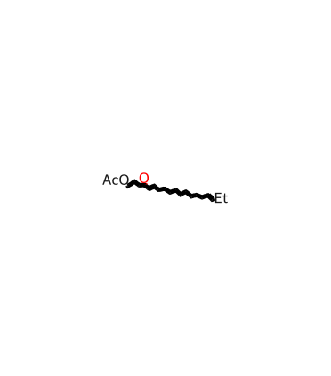 CC/C=C/CCCCCCCCC/C=C/C(=O)CCCOC(C)=O